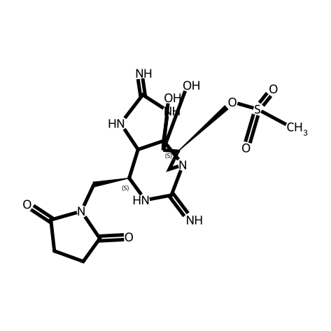 CS(=O)(=O)O[C@H]1CN2C(=N)N[C@@H](CN3C(=O)CCC3=O)C3NC(=N)NC32C1(O)O